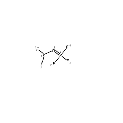 FP(F)N=P(F)(F)F